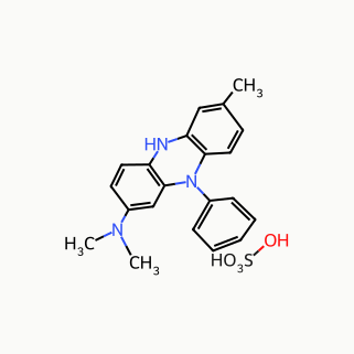 Cc1ccc2c(c1)Nc1ccc(N(C)C)cc1N2c1ccccc1.O=S(=O)(O)O